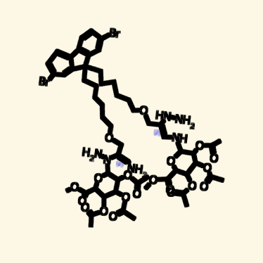 COC(=O)C1OC(N/C=C(/COCCCCCCC2(CCCCCCOC/C(=C/N)N(N)C3OC(C(=O)OC)C(OC(C)=O)C(OC(C)=O)C3OC(C)=O)c3cc(Br)ccc3-c3ccc(Br)cc32)NN)C(OC(C)=O)C(OC(C)=O)C1OC(C)=O